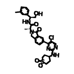 Cc1cccc([C@@H](CO)NC(=O)[C@@H](C)N2Cc3ccc(-c4nc(NC5CCS(=O)(=O)CC5)ncc4Cl)cc3C2=O)c1